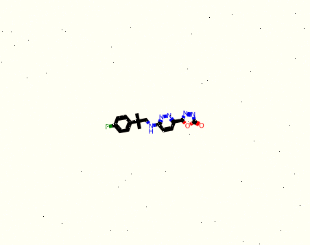 CC(C)(CNc1ccc(C2N=NC(=O)O2)nn1)c1ccc(F)cc1